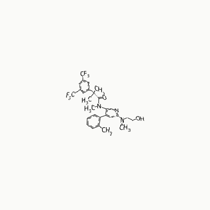 Cc1ccccc1-c1cc(N(C)CCO)ncc1N(C)C(=O)C(C)(C)c1cc(C(F)(F)F)cc(C(F)(F)F)c1